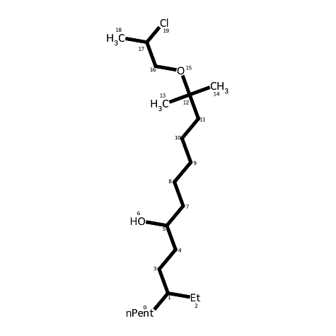 CCCCCC(CC)CCC(O)CCCCCC(C)(C)OCC(C)Cl